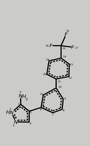 Nc1[nH]ncc1-c1cccc(-c2ccc(C(F)(F)F)cc2)c1